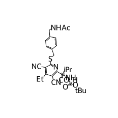 CCc1c(C#N)c(SCc2ccc(CNC(C)=O)cc2)nc([C@](NC(=O)OC(C)(C)C)(C(=O)O)C(C)C)c1C#N